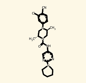 C[C@@H]1CN(c2ccc(C#N)c(Cl)c2)[C@@H](C)CN1C(=O)Nc1cnc(N2CCCCC2)nc1